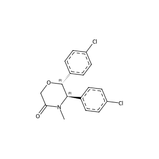 CN1C(=O)CO[C@H](c2ccc(Cl)cc2)[C@H]1c1ccc(Cl)cc1